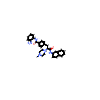 CN1CCN(C(Cc2ccc(C(=O)Nc3ccccc3N)cc2)C(=O)Nc2ccc3ccccc3c2)CC1